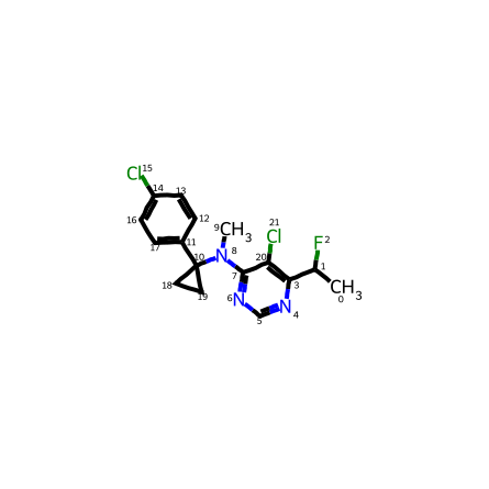 CC(F)c1ncnc(N(C)C2(c3ccc(Cl)cc3)CC2)c1Cl